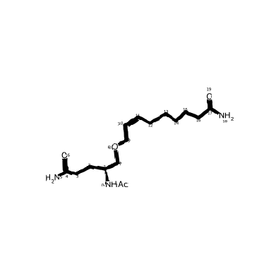 CC(=O)N[C@@H](CCC(N)=O)COC/C=C\CCCCCC(N)=O